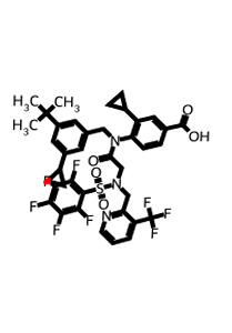 CC(C)(C)c1cc(CN(C(=O)CN(Cc2ncccc2C(F)(F)F)S(=O)(=O)c2c(F)c(F)c(F)c(F)c2F)c2ccc(C(=O)O)cc2C2CC2)cc(C2CC2)c1